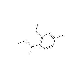 CCc1cc(C)ccc1C(C)CC